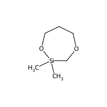 C[Si]1(C)COCCCO1